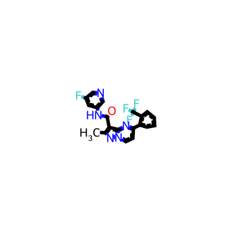 Cc1nn2ccc(-c3ccccc3C(F)(F)F)nc2c1C(=O)Nc1cncc(F)c1